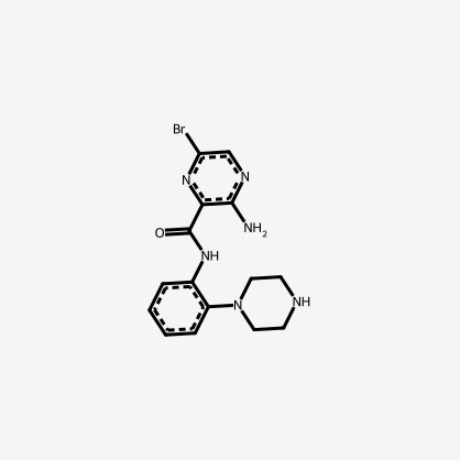 Nc1ncc(Br)nc1C(=O)Nc1ccccc1N1CCNCC1